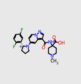 CN1CCC(NC(=O)c2cnn3ccc(N4CCC[C@@H]4c4cc(F)ccc4F)cc23)(C(=O)O)CC1